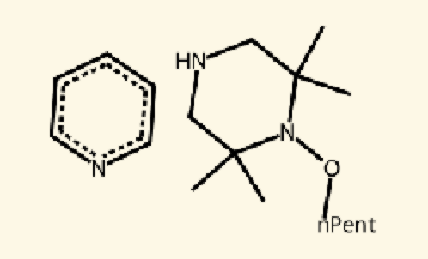 CCCCCON1C(C)(C)CNCC1(C)C.c1ccncc1